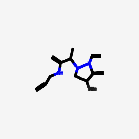 C=CCNC(=C)C(C)N1CC(SC)C(=C)N1C=C